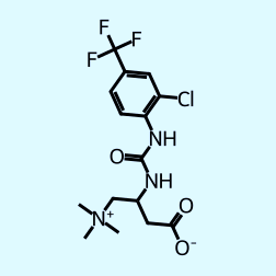 C[N+](C)(C)CC(CC(=O)[O-])NC(=O)Nc1ccc(C(F)(F)F)cc1Cl